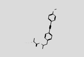 CCOc1ccc(C#Cc2ccc(CC(C)NC(=O)[C@H](C)OC)cc2)cc1